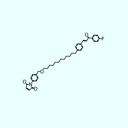 O=C(C=Cc1ccc(CCCCCCCCCCCCOCc2ccc(N3C(=O)C=CC3=O)cc2)cc1)c1ccc(F)cc1